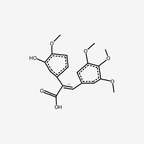 COc1ccc(/C(=C\c2cc(OC)c(OC)c(OC)c2)C(=O)O)cc1O